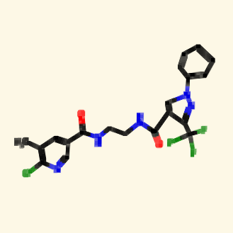 Cc1cc(C(=O)NCCNC(=O)c2cn(-c3ccccc3)nc2C(F)(F)F)cnc1Cl